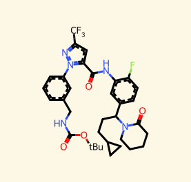 CC(C)(C)OC(=O)NCc1cccc(-n2nc(C(F)(F)F)cc2C(=O)Nc2cc(C(CCC3CC3)N3CCCCC3=O)ccc2F)c1